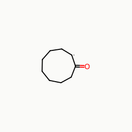 O=C1[CH]CCCCCCC1